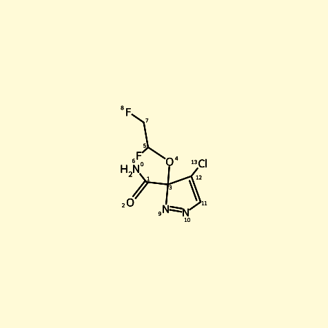 NC(=O)C1(OC(F)CF)N=NC=C1Cl